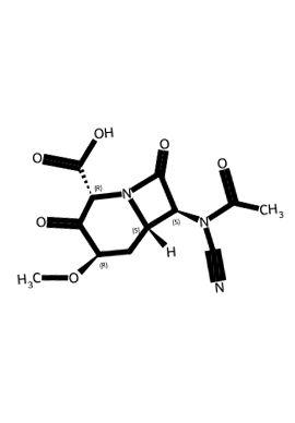 CO[C@@H]1C[C@H]2[C@H](N(C#N)C(C)=O)C(=O)N2[C@@H](C(=O)O)C1=O